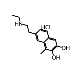 CCNCCc1ccc2cc(O)c(O)c(C)c2c1.Cl